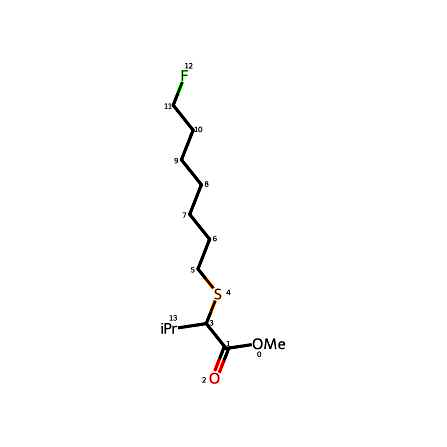 COC(=O)C(SCCCCCCCF)C(C)C